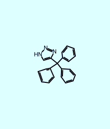 c1ccc(C(c2ccccc2)(c2ccccc2)c2c[nH]nn2)cc1